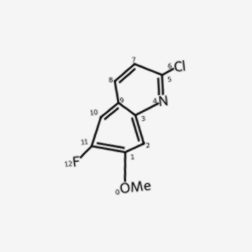 COc1cc2nc(Cl)ccc2cc1F